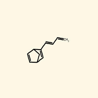 C=CC=CC1=CC2C=CC1C2